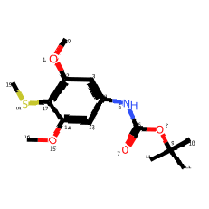 COc1cc(NC(=O)OC(C)(C)C)cc(OC)c1SC